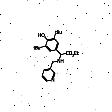 CCOC(=O)C(NCc1cccnc1)c1cc(C(C)(C)C)c(O)c(C(C)(C)C)c1